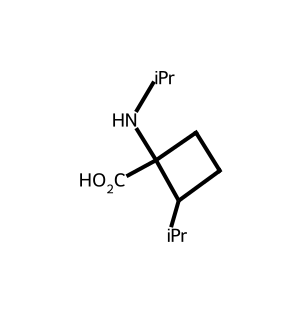 CC(C)NC1(C(=O)O)CCC1C(C)C